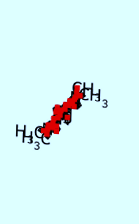 CCCCN(CCCC)c1ccc(-c2ccc(-c3c4ccccc4c(-c4ccc(-c5ccc(N(CCCC)CCCC)c6ccccc56)cc4)c4nsnc34)cc2)c2ccccc12